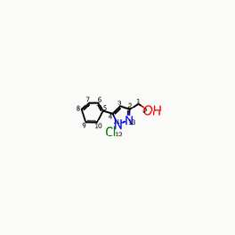 OCc1cc(-c2ccccc2)n(Cl)n1